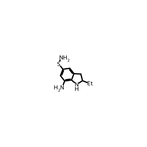 CCC1Cc2cc(SN)cc(N)c2N1